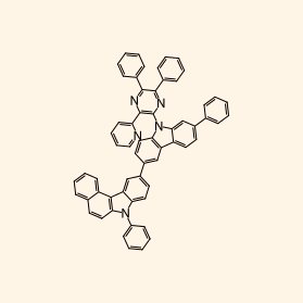 c1ccc(-c2ccc3c4cc(-c5ccc6c(c5)c5c7ccccc7ccc5n6-c5ccccc5)ccc4n(-c4nc(-c5ccccc5)c(-c5ccccc5)nc4-c4ccccn4)c3c2)cc1